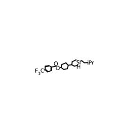 CC(C)CC[SiH]1CCC(C2CCC(OC(=O)c3ccc(C(F)(F)F)cc3)CC2)CC1